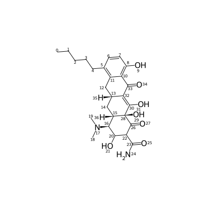 CCCCCc1ccc(O)c2c1C[C@H]1C[C@H]3[C@H](N(C)C)C(O)C(C(N)=O)C(=O)[C@@]3(O)C(O)=C1C2=O